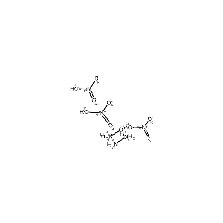 NN.NO.O=[N+]([O-])O.O=[N+]([O-])O.O=[N+]([O-])O